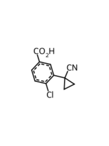 N#CC1(c2cc(C(=O)O)ccc2Cl)CC1